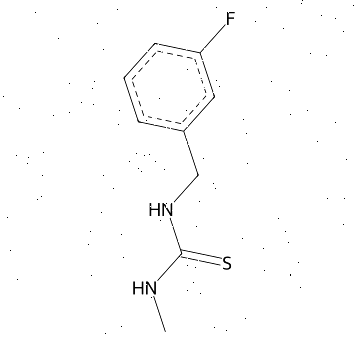 CNC(=S)NCc1cccc(F)c1